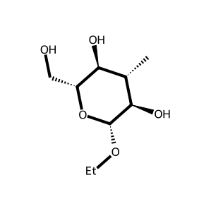 CCO[C@@H]1O[C@H](CO)[C@@H](O)[C@H](C)[C@H]1O